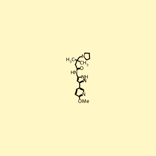 COc1ccc(-c2cc(NC(=O)CC(C)(C)CN3CCCC3)[nH]n2)cn1